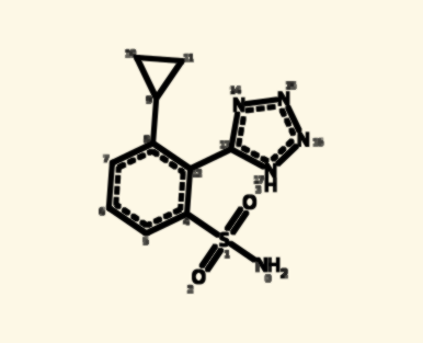 NS(=O)(=O)c1cccc(C2CC2)c1-c1nnn[nH]1